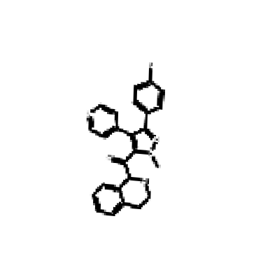 Cn1nc(-c2ccc(F)cc2)c(-c2ccncc2)c1C(=O)C1NCCc2ccccc21